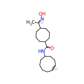 C/C(=N\O)C1CCCC(C(=O)NC2CC/C=C\CCCC2)CCC1